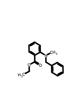 CCOC(=O)c1ccccc1N(C)Cc1ccccc1